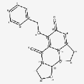 O=C1c2c(OCc3ccccc3)c(=O)cc3n2C(CC3)C2OCCN12